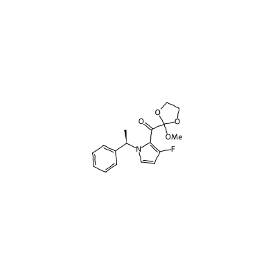 COC1(C(=O)c2c(F)ccn2[C@H](C)c2ccccc2)OCCO1